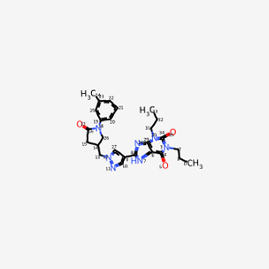 CCCn1c(=O)c2[nH]c(-c3cnn(CC4CC(=O)N(c5cccc(C)c5)C4)c3)nc2n(CCC)c1=O